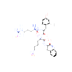 Cc1cc(O)cc(C)c1CC(NC(=O)C(N)CCCNC(=N)NP)C(=O)NC(CCCCNP)C(=O)NC(Cc1cc#ccc1)C(N)=O